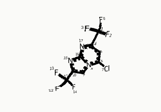 FC(F)(F)c1cc(Cl)n2cc(C(F)(F)F)nc2n1